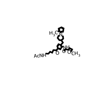 CC(=O)NCCCCCC(=O)c1ccc(CC2CCCN(c3ccccc3C)CC2)c(NC(=O)c2ccc(C)o2)c1